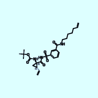 C=CCCCCCNC(=O)c1cccc(S(=O)(=O)NC(=O)[C@@]2(NC(=O)OC(C)(C)C)C[C@H]2C=C)c1